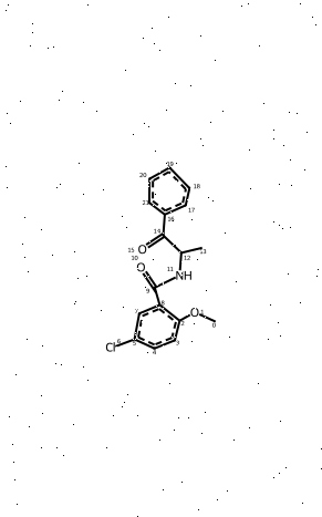 COc1ccc(Cl)cc1C(=O)NC(C)C(=O)c1ccccc1